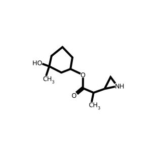 CC(C(=O)OC1CCCC(C)(O)C1)C1CN1